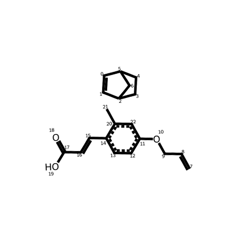 C1=CC2CCC1C2.C=CCOc1ccc(C=CC(=O)O)c(C)c1